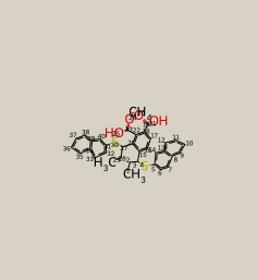 C.CCC(Sc1ccc2ccccc2c1)c1ccc(C(=O)O)c(C(=O)O)c1C(CC)Sc1ccc2ccccc2c1